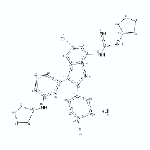 Cl.N=C(Nc1cc(Cl)cc2c(-c3ccnc(NC4CCCC4)n3)c(-c3ccc(F)cc3)nn12)NC1CCCC1